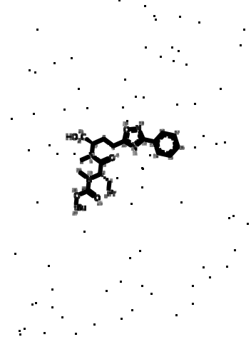 CC(C)C[C@@H](C(=O)N(C)[C@H](CCc1nc(-c2ccccc2)no1)C(=O)O)N(C)C(=O)OC(C)(C)C